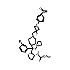 COC(=O)N[C@H]1CCC[C@@H]1[C@](CN1CCC1)(c1cccc(F)c1)C1CCN(CC2(F)CN(c3ccc([SH](=O)=O)cc3)C2)CC1